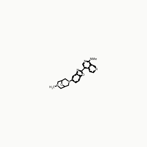 CNc1ncc(-c2nc3cc(N4CC5CN(C)CC(C4)O5)ccc3o2)c2ccncc12